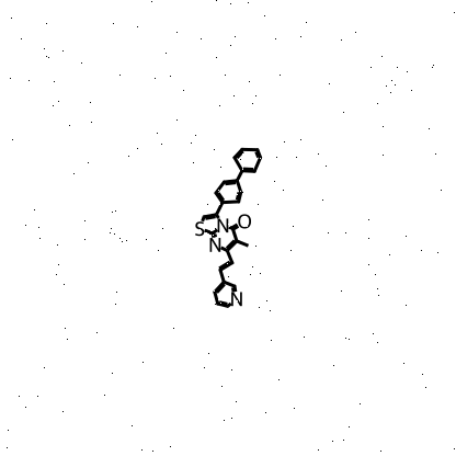 Cc1c(/C=C/c2cccnc2)nc2scc(-c3ccc(-c4ccccc4)cc3)n2c1=O